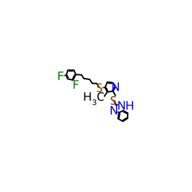 CCc1c(SCCCCCc2ccc(F)cc2F)ccnc1CSc1nc2ccccc2[nH]1